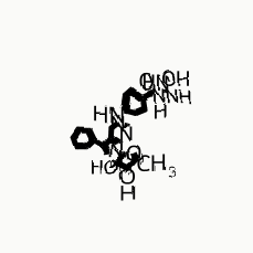 C[C@H]1O[C@@H](n2cc(-c3ccccc3)c3c2N=CN(Nc2ccc(C(=O)NC(=N)NO)cc2)C3)[C@H](O)[C@@H]1O